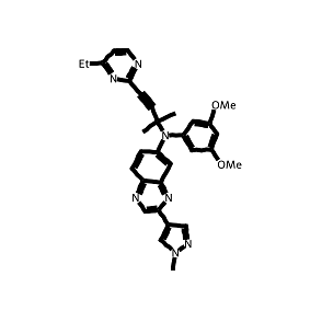 CCc1ccnc(C#CC(C)(C)N(c2cc(OC)cc(OC)c2)c2ccc3ncc(-c4cnn(C)c4)nc3c2)n1